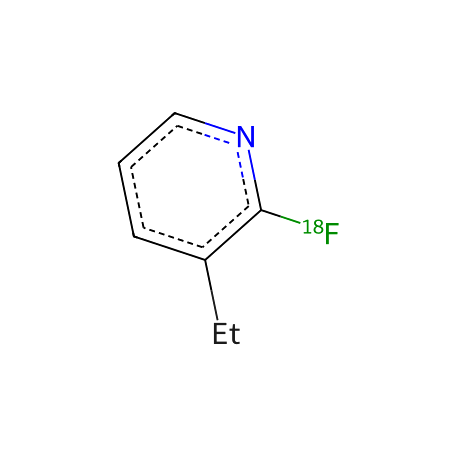 CCc1cccnc1[18F]